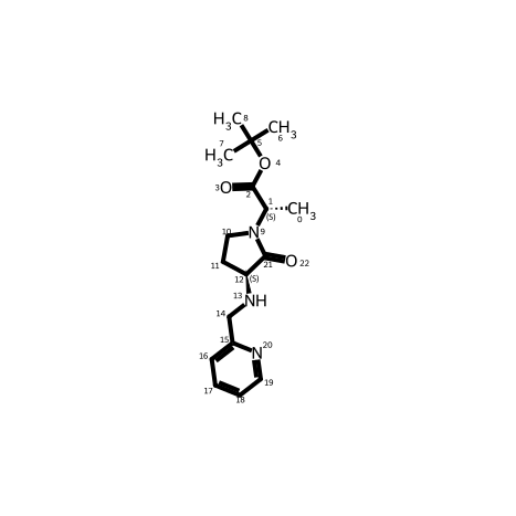 C[C@@H](C(=O)OC(C)(C)C)N1CC[C@H](NCc2ccccn2)C1=O